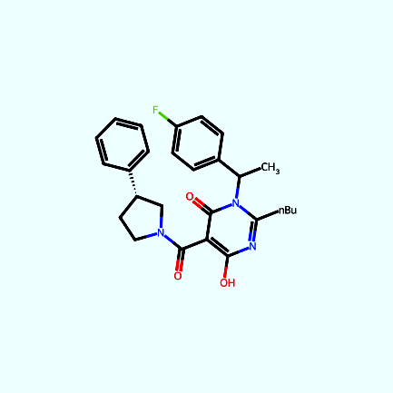 CCCCc1nc(O)c(C(=O)N2CC[C@H](c3ccccc3)C2)c(=O)n1C(C)c1ccc(F)cc1